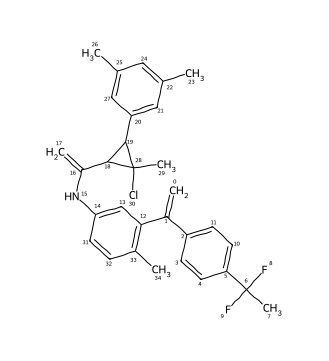 C=C(c1ccc(C(C)(F)F)cc1)c1cc(NC(=C)C2C(c3cc(C)cc(C)c3)C2(C)Cl)ccc1C